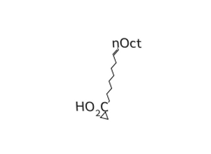 C1CC1.CCCCCCCCC=CCCCCCCCC(=O)O